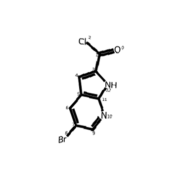 O=C(Cl)c1cc2cc(Br)cnc2[nH]1